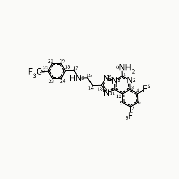 Nc1nc2c(F)cc(F)cc2c2nc(CCNCc3ccc(C(F)(F)F)cc3)nn12